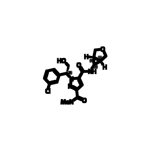 CNC(=O)c1cc(C(=O)N[C@H]2[C@@H]3COC[C@@H]32)n([C@@H](CO)c2cccc(Cl)c2)n1